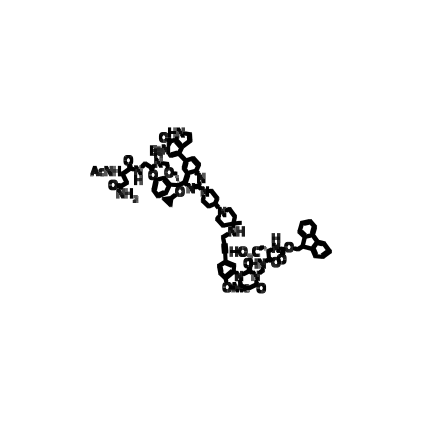 CCn1cc(-c2ccc3nc(N4CCC(N5CCC(C)(NCC#Cc6ccc(OC)c(N7CCC(=O)N(CNC(=O)[C@H](CC(=O)O)NC(=O)OCC8c9ccccc9-c9ccccc98)C7=O)c6)CC5)CC4)nc([C@@](COCNC(=O)CNC(=O)[C@H](CC(N)=O)NC(C)=O)(OC4CC4)c4ccccc4)c3c2)c2cc[nH]c2c1=O